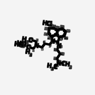 CCN(CC)CCCN1/C(=N\CCCN(C)C)c2cccc3cccc1c23.Cl.Cl.Cl